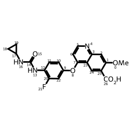 COc1cc2nccc(Oc3ccc(NC(=O)NC4CC4)c(F)c3)c2cc1C(=O)O